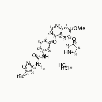 COc1cc2ncnc(Oc3cccc(NC(=O)N(I)c4cc(C(C)(C)C)on4)c3)c2cc1OC1CCNC1.Cl.Cl